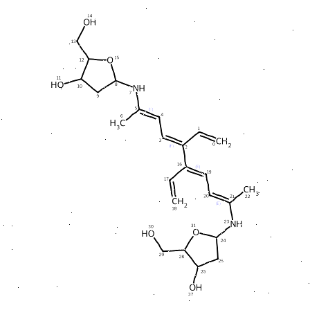 C=CC(=C\C=C(/C)NC1CC(O)C(CO)O1)/C(C=C)=C/C=C(\C)NC1CC(O)C(CO)O1